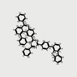 c1ccc(-c2nc(-c3ccc(-c4cccc5c4sc4ccccc45)cc3)nc(-c3ccc4nc(-c5ccccc5)c5cccc(-c6ccccc6)c5c4c3)n2)cc1